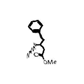 COC(=O)CC(Cc1ccccc1)N=[N+]=[N-]